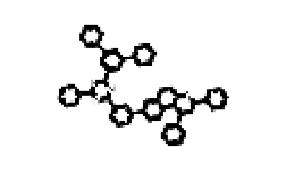 c1ccc(-c2cc(-c3ccccc3)cc(-c3nc(-c4ccccc4)nc(-c4cccc(-c5ccc6c(ccc7nc(-c8ccccc8)cc(-c8ccccc8)c76)c5)c4)n3)c2)cc1